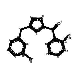 O=C(c1cc(Cc2cccc(Br)c2)cs1)c1cncnc1Cl